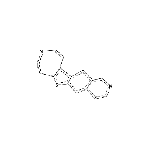 C1=Cc2sc3cc4ccncc4cc3c2C=CN=1